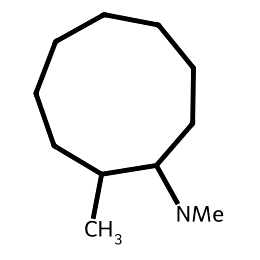 CNC1CCCCCCCC1C